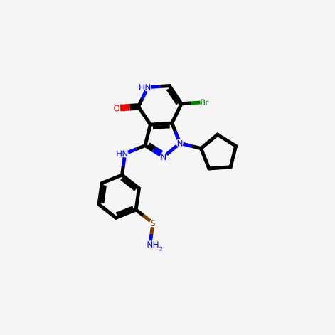 NSc1cccc(Nc2nn(C3CCCC3)c3c(Br)c[nH]c(=O)c23)c1